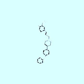 COc1cc(C=CCN2CC=C(c3ccc(Oc4ccccc4)cc3)CC2)ccc1O